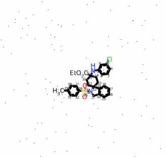 CCOC(=O)C1(Nc2cccc(Cl)c2)CCC2(CC1)c1ccccc1CN2S(=O)(=O)c1ccc(C)cc1